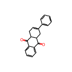 O=C1c2ccccc2C(=O)C2CC(c3ccccc3)=CCC12